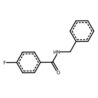 O=C(NCc1ccccc1)c1c[c]c(F)cc1